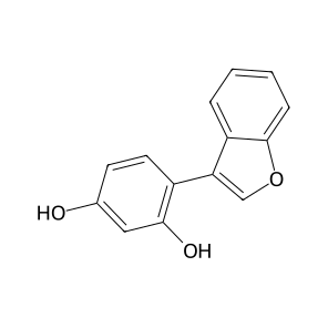 Oc1ccc(-c2coc3ccccc23)c(O)c1